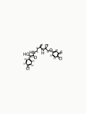 C=C(CCNC(=O)[C@@H](O)c1ccc(Cl)cc1)NC(=O)COc1ccc(Cl)c(F)c1